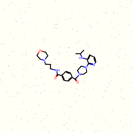 CC(C)Nc1cccnc1N1CCN(C(=O)c2ccc(C(=O)NCCCN3CCOCC3)cc2)CC1